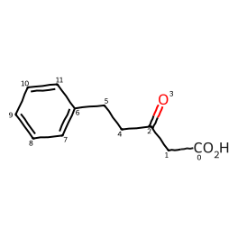 O=C(O)CC(=O)CCc1ccccc1